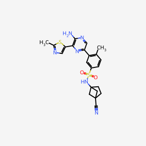 Cc1ncc(-c2nc(-c3cc(S(=O)(=O)NC45CCC(C#N)(C4)C5)ccc3C)cnc2N)s1